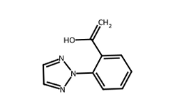 C=C(O)c1ccccc1-n1nccn1